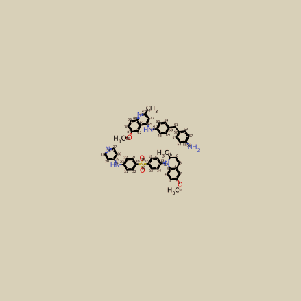 COc1ccc2c(c1)C=CC(C)N2c1ccc(S(=O)(=O)c2ccc(Nc3ccncc3)cc2)cc1.COc1ccc2nc(C)cc(Nc3ccc(Cc4ccc(N)cc4)cc3)c2c1